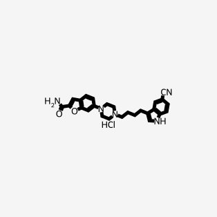 Cl.N#Cc1ccc2[nH]cc(CCCCN3CCN(c4ccc5cc(C(N)=O)oc5c4)CC3)c2c1